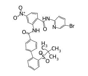 CC(C)(C)S(=O)(=O)c1ccccc1-c1ccc(C(=O)Nc2cc([N+](=O)[O-])ccc2C(=O)Nc2ccc(Br)cn2)cc1